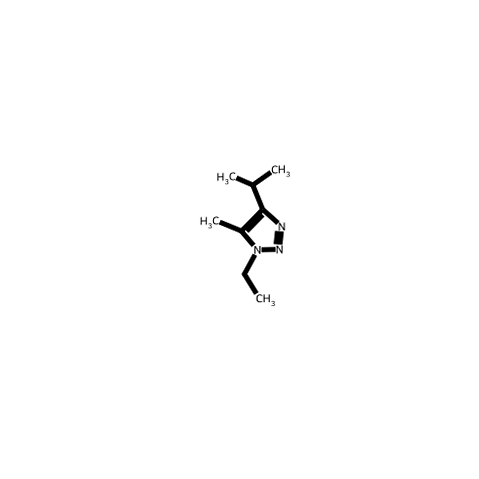 CCn1nnc(C(C)C)c1C